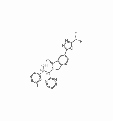 Cc1cccc([C@H](O)[C@@H](c2ncccn2)N2Cc3ccc(-c4nnc(C(F)F)o4)cc3C2=O)c1